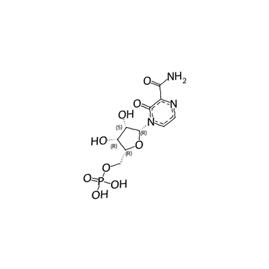 NC(=O)c1nccn([C@@H]2O[C@H](COP(=O)(O)O)[C@H](O)[C@@H]2O)c1=O